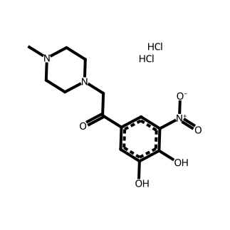 CN1CCN(CC(=O)c2cc(O)c(O)c([N+](=O)[O-])c2)CC1.Cl.Cl